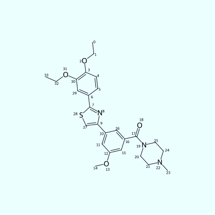 CCOc1ccc(-c2nc(-c3cc(OC)cc(C(=O)N4CCN(C)CC4)c3)cs2)cc1OCC